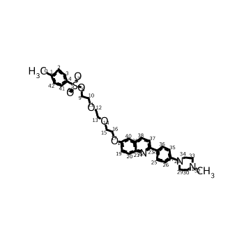 Cc1ccc(S(=O)(=O)OCCOCCOCCOc2ccc3nc(-c4ccc(N5CCN(C)CC5)cc4)ccc3c2)cc1